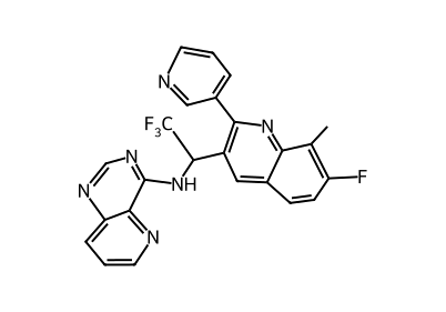 Cc1c(F)ccc2cc(C(Nc3ncnc4cccnc34)C(F)(F)F)c(-c3cccnc3)nc12